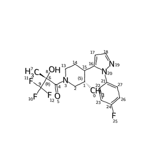 C[C@@H]1CN(C(=O)[C@@](C)(O)C(F)(F)F)CCC1c1ccnn1-c1ccc(F)cc1